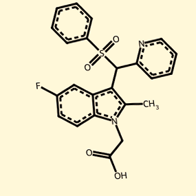 Cc1c(C(c2ccccn2)S(=O)(=O)c2ccccc2)c2cc(F)ccc2n1CC(=O)O